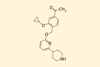 CC(=O)c1ccc(COc2cccc(C3CCNCC3)n2)c(OC2CC2)c1